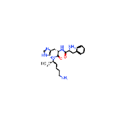 NCCCC[C@H](NC(=O)[C@H](Cc1c[nH]cn1)NC(=O)[C@@H](N)Cc1ccccc1)C(=O)O